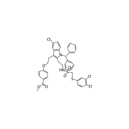 COC(=O)c1ccc(OCCc2c(CCNS(=O)(=O)CSc3ccc(Cl)c(Cl)c3)n(C(c3ccccc3)c3ccccc3)c3ccc(Cl)cc23)cc1